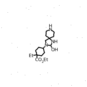 CCOC(=O)C1(CC)CCC(N2CC3(CCNCC3)NC2O)CC1